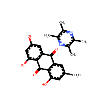 Cc1nc(C)c(C)nc1C.O=C(O)c1cc(O)c2c(c1)C(=O)c1cc(O)cc(O)c1C2=O